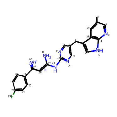 Cc1cnc2[nH]cc(Cc3cnc(N/C(N)=C/C(=N)c4ccc(F)cc4)nc3)c2c1